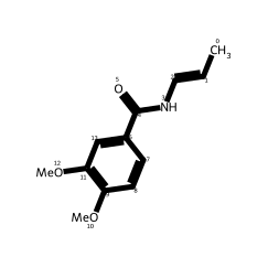 C/C=C/NC(=O)c1ccc(OC)c(OC)c1